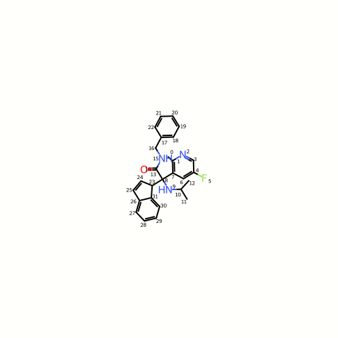 Cc1ncc(F)cc1C(NC(C)C)(C(=O)NCc1ccccc1)C1C=Cc2ccccc21